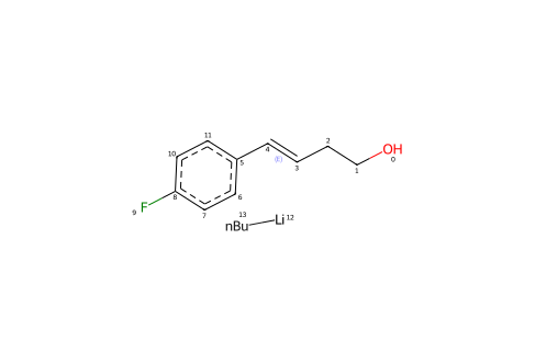 OCC/C=C/c1ccc(F)cc1.[Li][CH2]CCC